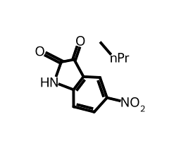 CCCC.O=C1Nc2ccc([N+](=O)[O-])cc2C1=O